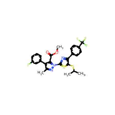 COC(=O)c1c(-c2cccc(F)c2)c(C)nn1-c1nc(-c2ccc(C(F)(F)F)cc2)c(SC(C)C)s1